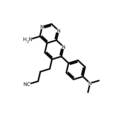 CN(C)c1ccc(-c2nc3ncnc(N)c3cc2CCCC#N)cc1